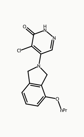 CCCOc1cccc2c1CN(c1cn[nH]c(=O)c1Cl)C2